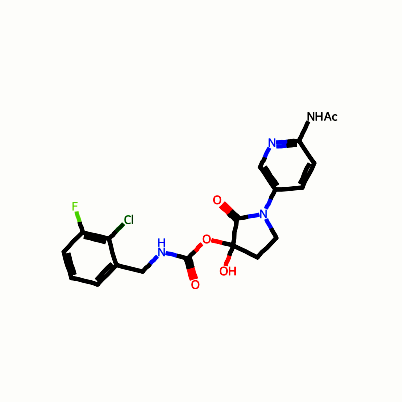 CC(=O)Nc1ccc(N2CCC(O)(OC(=O)NCc3cccc(F)c3Cl)C2=O)cn1